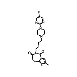 Cc1cc2c(s1)CCC(=O)N(CCCCN1CCN(c3ncc(F)cn3)CC1)C2=O